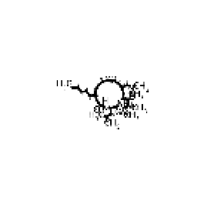 CCCCCCC1CCC/C=C\CC(CN(C)C)CC(C(=O)N(C)OC)NC(=O)[C@H](CC(C)C)NC(=O)C1